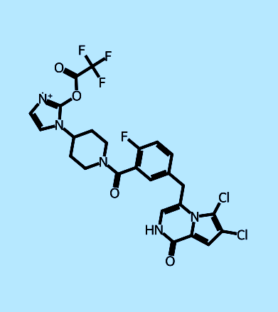 O=C(c1cc(Cc2c[nH]c(=O)c3cc(Cl)c(Cl)n23)ccc1F)N1CCC(N2C=C[N+]=C2OC(=O)C(F)(F)F)CC1